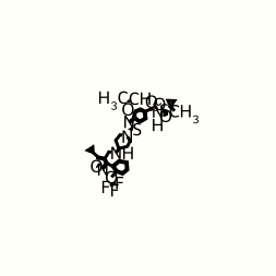 CC(C)Oc1cc(C(=O)NS(=O)(=O)C2(C)CC2)cc2sc(N3CCC(NCc4c(-c5ccccc5OC(F)(F)F)noc4C4CC4)CC3)nc12